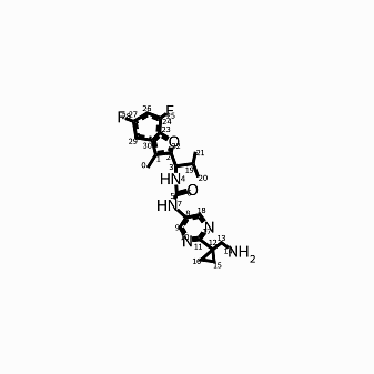 Cc1c(C(NC(=O)Nc2cnc(C3(CN)CC3)nc2)C(C)C)oc2c(F)cc(F)cc12